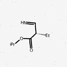 CC[C@@H](C=N)C(=O)OC(C)C